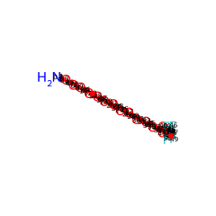 NCCOCCOCCOCCOCCOCCOCCOCCOCCOCCOCCOCCOCCC(=O)Oc1c(F)c(F)cc(F)c1F